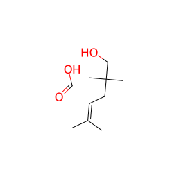 CC(C)=CCC(C)(C)CO.O=CO